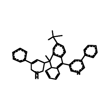 CC(C)(C)c1ccc2c(c1)C(C)(C1C=C(c3ccccc3)CNC1)C1C=CC=CC1=C2c1cncc(-c2ccccc2)c1